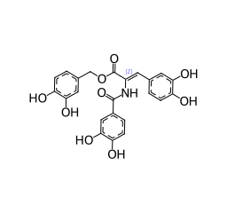 O=C(OCc1ccc(O)c(O)c1)/C(=C/c1ccc(O)c(O)c1)NC(=O)c1ccc(O)c(O)c1